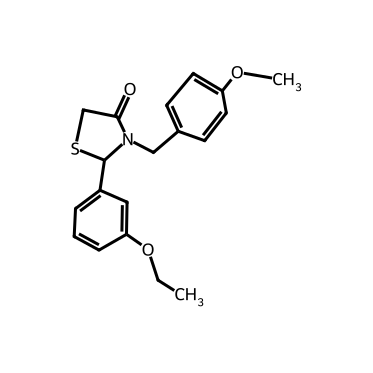 CCOc1cccc(C2SCC(=O)N2Cc2ccc(OC)cc2)c1